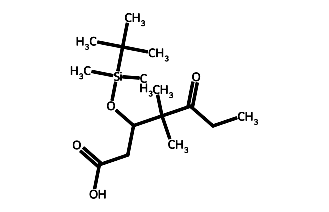 CCC(=O)C(C)(C)C(CC(=O)O)O[Si](C)(C)C(C)(C)C